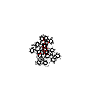 c1ccc(B2c3ccccc3N(n3c4ccccc4c4ccccc43)c3ccc4c(c32)B(c2ccc(-c3cccc(-c5ccccc5B5c6ccccc6Sc6c5ccc5c6B(c6cccc(-n7c8ccccc8c8cc(-n9c%10ccccc%10c%10ccccc%109)ccc87)c6)c6ccccc6S5)c3)cc2)c2ccccc2N4n2c3ccccc3c3ccccc32)cc1